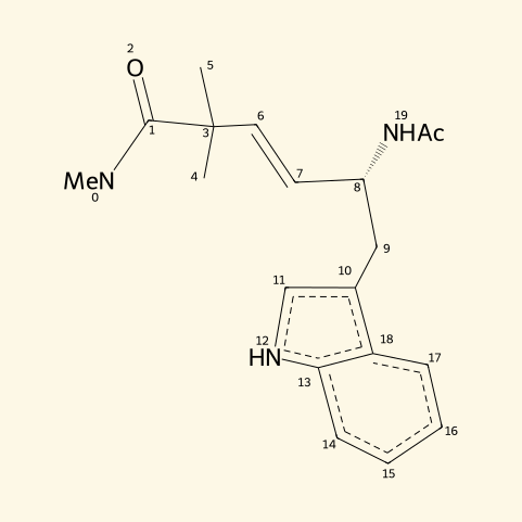 CNC(=O)C(C)(C)/C=C/[C@@H](Cc1c[nH]c2ccccc12)NC(C)=O